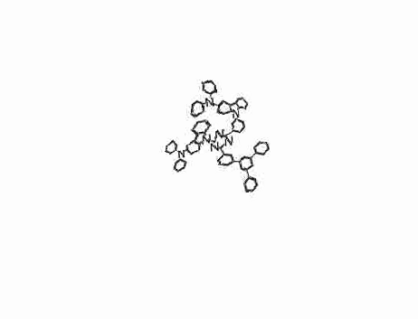 c1ccc(-c2cc(-c3ccccc3)cc(-c3cccc(-c4nc(-c5cccc(-n6c7ccccc7c7cc(N(c8ccccc8)c8ccccc8)ccc76)c5)nc(-n5c6ccccc6c6cc(N(c7ccccc7)c7ccccc7)ccc65)n4)c3)c2)cc1